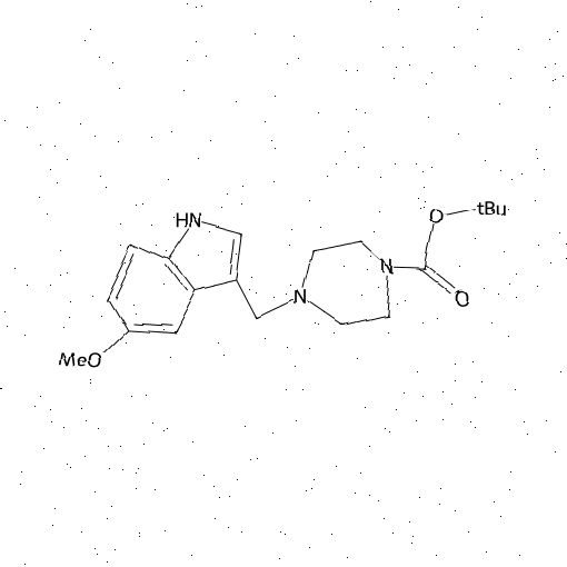 COc1ccc2[nH]cc(CN3CCN(C(=O)OC(C)(C)C)CC3)c2c1